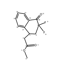 COC(=O)CC1CC(F)(F)C(=O)c2ccccc21